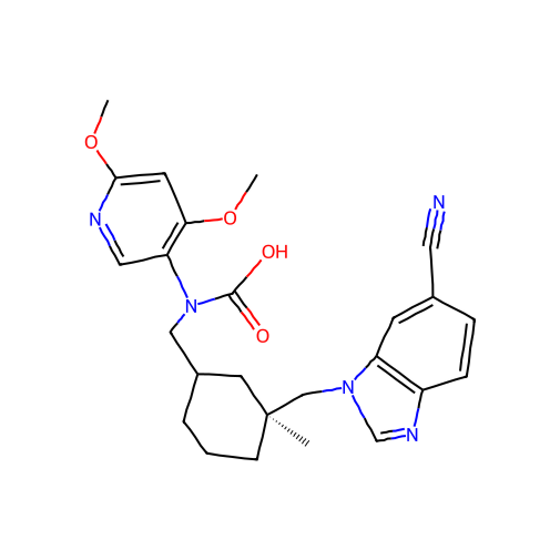 COc1cc(OC)c(N(CC2CCC[C@](C)(Cn3cnc4ccc(C#N)cc43)C2)C(=O)O)cn1